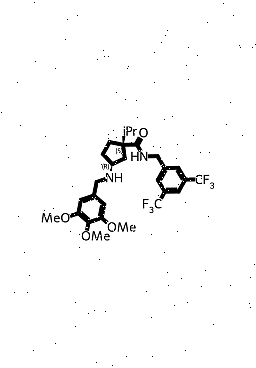 COc1cc(CN[C@@H]2CC[C@@](C(=O)NCc3cc(C(F)(F)F)cc(C(F)(F)F)c3)(C(C)C)C2)cc(OC)c1OC